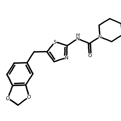 O=C(Nc1ncc(Cc2ccc3c(c2)OCO3)s1)N1CCCCC1